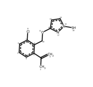 C=C(C)c1cccc(Cl)c1COc1ccn(S)n1